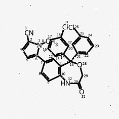 Cn1c(C#N)ccc1-c1ccc2c(c1)C(c1cccc(Cl)c1)(c1cccc(Cl)c1)OCC(=O)N2